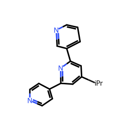 CC(C)c1cc(-c2ccncc2)nc(-c2cccnc2)c1